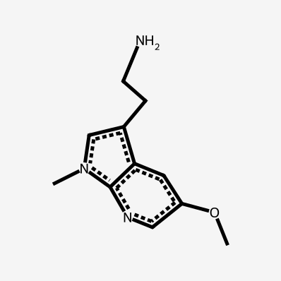 COc1cnc2c(c1)c(CCN)cn2C